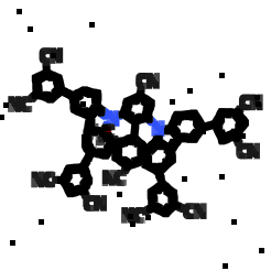 N#Cc1cc(C#N)cc(-c2ccc3c(c2)c2cc(-c4cc(C#N)cc(C#N)c4)ccc2n3-c2cc(C#N)cc(-n3c4ccc(-c5cc(C#N)cc(C#N)c5)cc4c4cc(-c5cc(C#N)cc(C#N)c5)ccc43)c2-c2ccc(C#N)cc2C(F)(F)F)c1